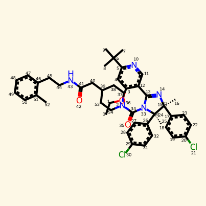 CCOc1cc(C(C)(C)C)ncc1C1=N[C@@](C)(c2ccc(Cl)cc2)[C@@](C)(c2ccc(Cl)cc2)N1C(=O)N1CCC(CC(=O)NCCc2ccccc2C)CC1